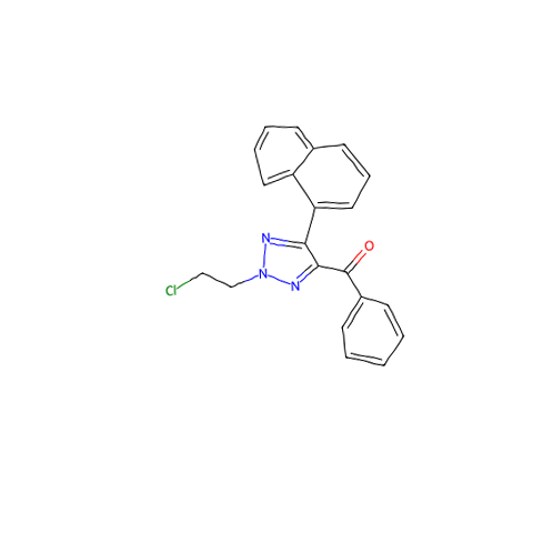 O=C(c1ccccc1)c1nn(CCCl)nc1-c1cccc2ccccc12